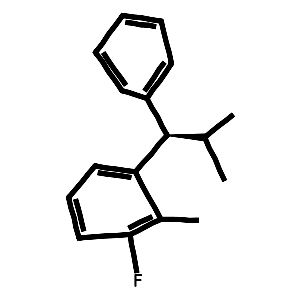 Cc1c(F)cccc1[C@@H](c1ccccc1)C(C)C